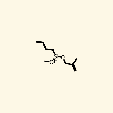 C=C(C)CO[SiH](CCCC)OC